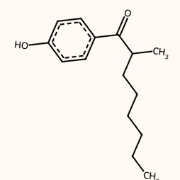 CCCCCCC(C)C(=O)c1ccc(O)cc1